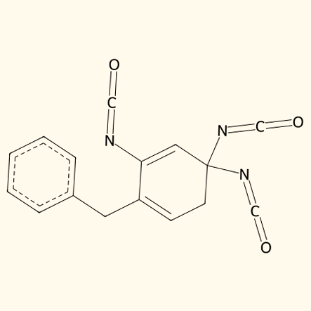 O=C=NC1=CC(N=C=O)(N=C=O)CC=C1Cc1ccccc1